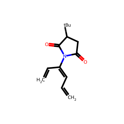 C=C/C=C(\C=C)N1C(=O)CC(C(C)(C)C)C1=O